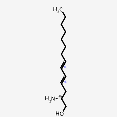 CCCCCCC/C=C/C=C/C[C@@H](N)CO